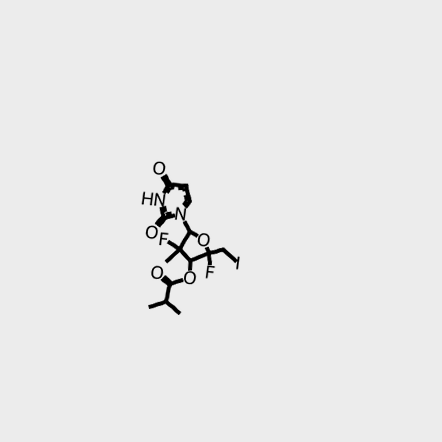 CC(C)C(=O)OC1C(F)(CI)OC(n2ccc(=O)[nH]c2=O)C1(C)F